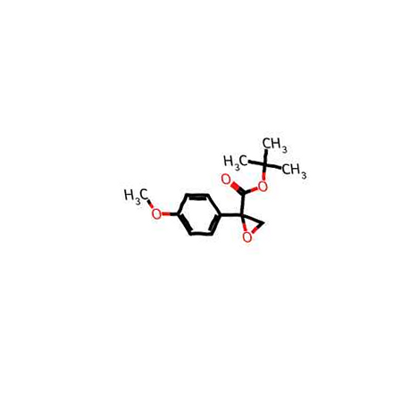 COc1ccc(C2(C(=O)OC(C)(C)C)CO2)cc1